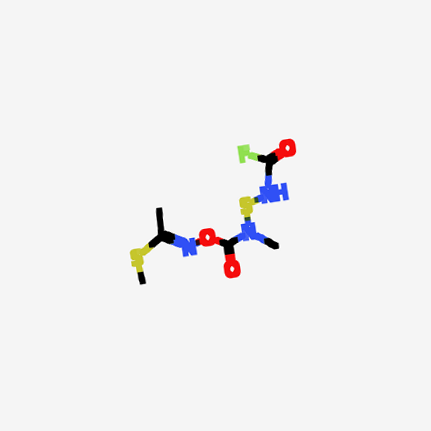 CSC(C)=NOC(=O)N(C)SNC(=O)F